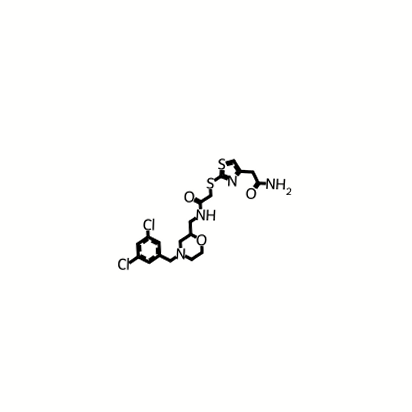 NC(=O)Cc1csc(SCC(=O)NCC2CN(Cc3cc(Cl)cc(Cl)c3)CCO2)n1